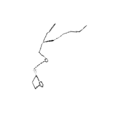 CCCC[C@H](CC)COC[C@H]1CO1